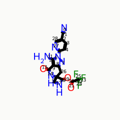 N#Cc1ccc(-n2nc3c(c2N)C(=O)NC2(CNC2OC(=O)C(F)(F)F)C3)nc1